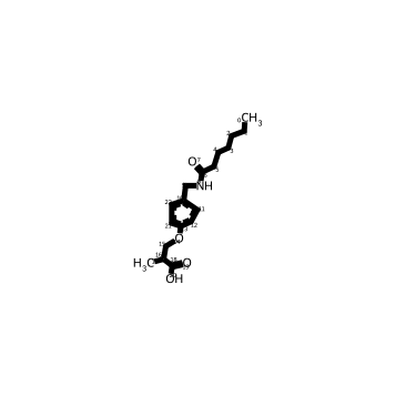 CCCCCCC(=O)NCc1ccc(OCC(C)C(=O)O)cc1